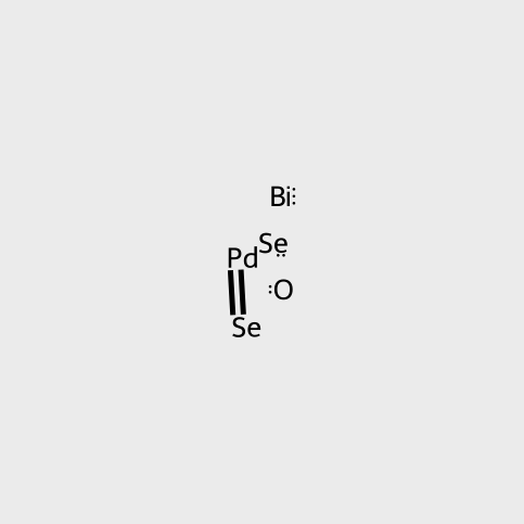 [Bi].[O].[Se].[Se]=[Pd]